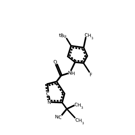 Cc1cc(F)c(NC(=O)c2ccnc(C(C)(C)C#N)c2)cc1C(C)(C)C